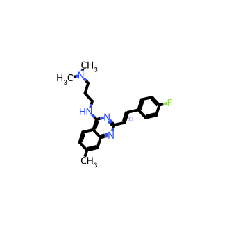 Cc1ccc2c(NCCCN(C)C)nc(/C=C/c3ccc(F)cc3)nc2c1